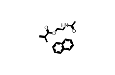 C=C(C)C(=O)OCCNC(C)=O.c1ccc2ccccc2c1